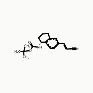 CC(C)(C)OC(=O)N[C@@H]1CCCc2cc(C=CC#N)ccc21